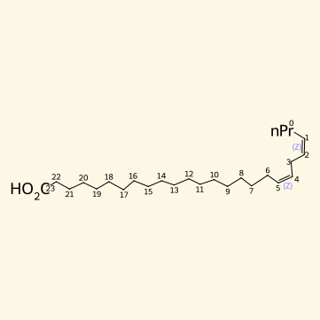 CCC/C=C\C/C=C\CCCCCCCCCCCCCCCCCC(=O)O